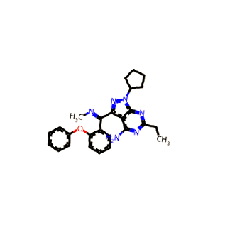 CCc1nc(N)c2c(/C(=N/C)c3ccccc3Oc3ccccc3)nn(C3CCCC3)c2n1